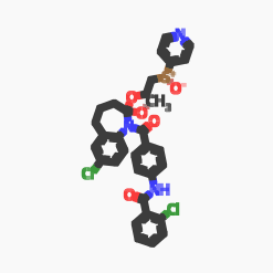 COC1(OCC[S+]([O-])c2ccncc2)CCCc2cc(Cl)ccc2N1C(=O)c1ccc(NC(=O)c2ccccc2Cl)cc1